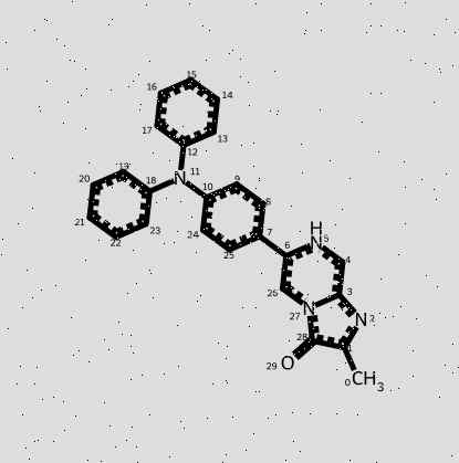 Cc1nc2c[nH]c(-c3ccc(N(c4ccccc4)c4ccccc4)cc3)cn-2c1=O